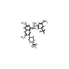 CC(=O)N1CCC(c2cc3c(N[C@H](C)c4cc(N)cc(C(F)(F)F)c4)nc(C)nc3nc2C)CC1